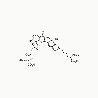 CCCCCCC(CCCCc1ccc2nc3c(c(CC)c2c1)Cn1c-3cc2c(c1=O)COC(=O)[C@@]2(CC)OC(=O)CCC(=O)NC(CCCCCC)C(=O)O)C(=O)O